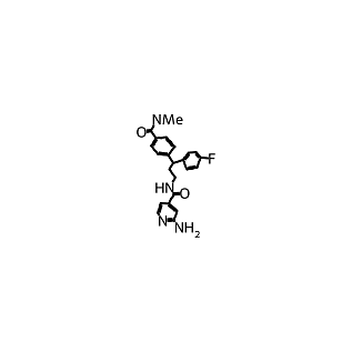 CNC(=O)c1ccc(C(CCNC(=O)c2ccnc(N)c2)c2ccc(F)cc2)cc1